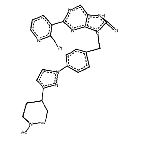 CC(=O)N1CCC(c2ccn(-c3ccc(Cn4c(=O)[nH]c5cnc(-c6cccnc6C(C)C)nc54)cc3)n2)CC1